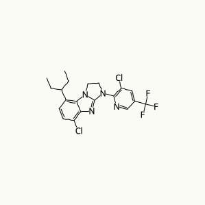 CCC(CC)c1ccc(Cl)c2nc3n(c12)CCN3c1ncc(C(F)(F)F)cc1Cl